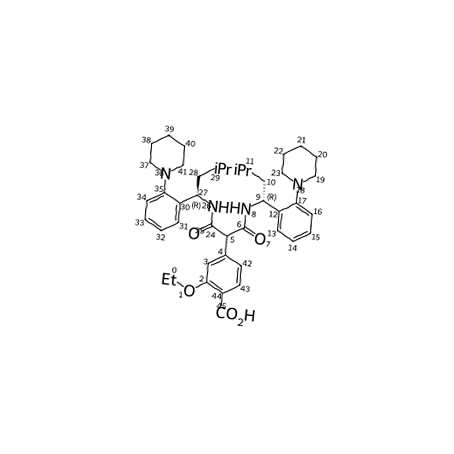 CCOc1cc(C(C(=O)N[C@H](CC(C)C)c2ccccc2N2CCCCC2)C(=O)N[C@H](CC(C)C)c2ccccc2N2CCCCC2)ccc1C(=O)O